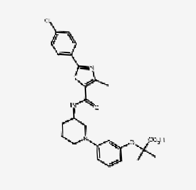 Cc1nc(-c2ccc(Cl)cc2)sc1C(=O)N[C@@H]1CCCN(c2cccc(OC(C)(C)C(=O)O)c2)C1